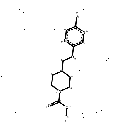 CC(C)OC(=O)N1CCC(COc2cnc(Br)cn2)CC1